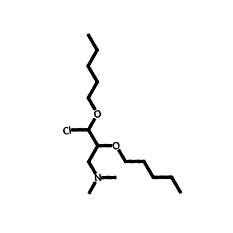 CCCCCOC(Cl)C(CN(C)C)OCCCCC